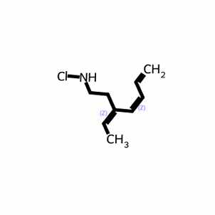 C=C/C=C\C(=C/C)CCNCl